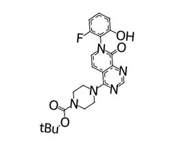 CC(C)(C)OC(=O)N1CCN(c2ncnc3c(=O)n(-c4c(O)cccc4F)ccc23)CC1